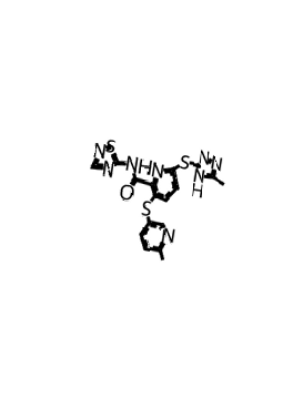 Cc1ccc(Sc2ccc(Sc3nnc(C)[nH]3)nc2C(=O)Nc2ncns2)cn1